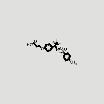 Cc1ccc(S(=O)(=O)O/N=C(/c2ccc(OCCC(=O)O)cc2)C(F)(F)F)cc1